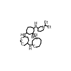 BC1(CC)CC(BC2CCCCC(BC3CCCCCCCCC3)CC2)CCCC(BC2CCCN(C(CC)CC)C2)C1